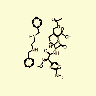 CO/N=C(/C(=O)N[C@@H]1C(=O)N2C(C(=O)O)=C(COC(C)=O)CS[C@H]12)c1csc(N)n1.c1ccc(CNCCNCc2ccccc2)cc1